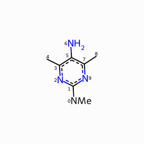 CNc1nc(C)c(N)c(C)n1